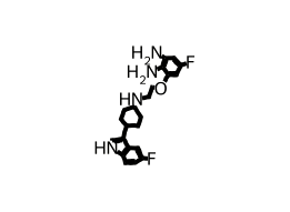 Nc1cc(F)cc(OCCNC2CCC(c3c[nH]c4ccc(F)cc34)CC2)c1N